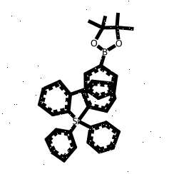 CC1(C)OB(c2cccc(-c3ccccc3[Si](c3ccccc3)(c3ccccc3)c3ccccc3)c2)OC1(C)C